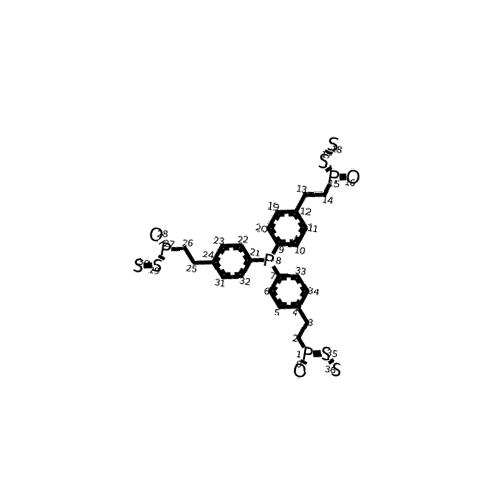 O=P(CCc1ccc(P(c2ccc(CCP(=O)=S=S)cc2)c2ccc(CCP(=O)=S=S)cc2)cc1)=S=S